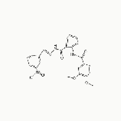 COc1ccc(C(=O)Nc2ccccc2C(=O)NN=Cc2cccc([N+](=O)[O-])c2)cc1OC